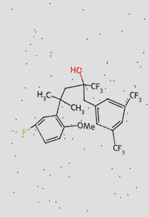 COc1ccc(F)cc1C(C)(C)CC(O)(Cc1cc(C(F)(F)F)cc(C(F)(F)F)c1)C(F)(F)F